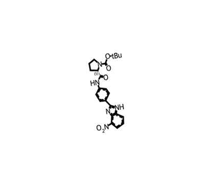 CC(C)(C)OC(=O)N1CCC[C@H]1C(=O)Nc1ccc(-c2nc3c([N+](=O)[O-])cccc3[nH]2)cc1